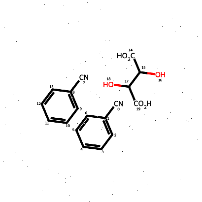 N#Cc1ccccc1.N#Cc1ccccc1.O=C(O)C(O)C(O)C(=O)O